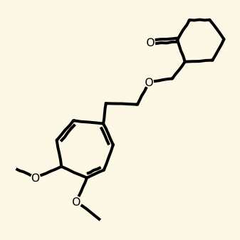 COC1=CC=C(CCOCC2CCCCC2=O)C=CC1OC